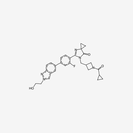 O=C(C1CC1)N1CC(CN2C(=O)C3(CC3)N=C2c2ccc(-c3ccc4nn(CCO)cc4c3)cc2F)C1